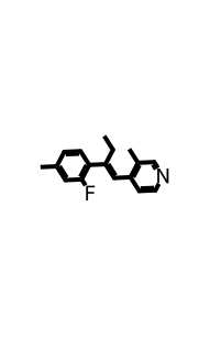 CC/C(=C\c1ccncc1C)c1ccc(C)cc1F